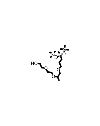 CC(COCCC[Si](C)(O[Si](C)(C)C)O[Si](C)(C)C)OCCOCCO